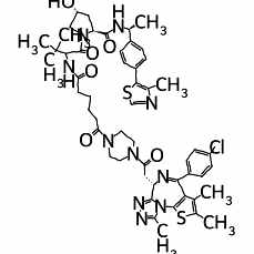 Cc1ncsc1-c1ccc([C@H](C)NC(=O)[C@@H]2C[C@@H](O)CN2C(=O)C(NC(=O)CCCCC(=O)N2CCN(C(=O)C[C@@H]3N=C(c4ccc(Cl)cc4)c4c(sc(C)c4C)-n4c(C)nnc43)CC2)C(C)(C)C)cc1